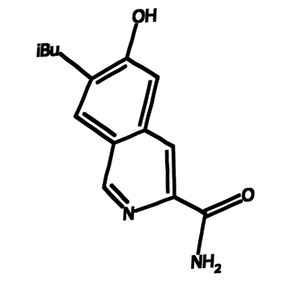 CCC(C)c1cc2cnc(C(N)=O)cc2cc1O